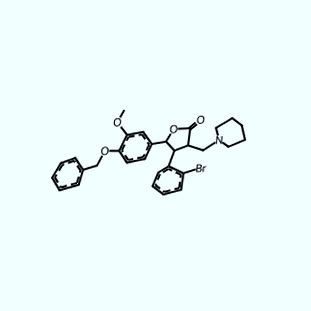 COc1cc(C2OC(=O)C(CN3CCCCC3)C2c2ccccc2Br)ccc1OCc1ccccc1